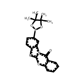 CC1(C)OB(c2ccc3nc4oc5ccccc5c(=O)n4c3c2)OC1(C)C